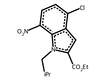 CCOC(=O)c1cc2c(Cl)ccc([N+](=O)[O-])c2n1CC(C)C